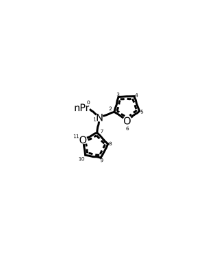 CCCN(c1ccco1)c1ccco1